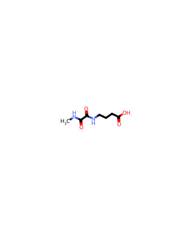 CNC(=O)C(=O)NCCCC(=O)O